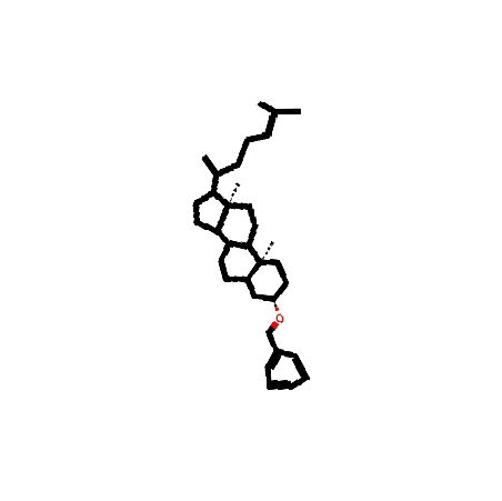 CC(C)CCCC(C)C1CCC2C3CCC4C[C@@H](OCc5ccccc5)CC[C@]4(C)C3CC[C@]12C